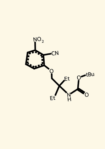 CCC(CC)(COc1cccc([N+](=O)[O-])c1C#N)NC(=O)OC(C)(C)C